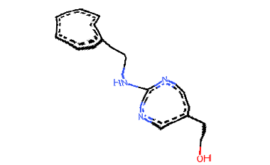 OCc1cnc(NCc2ccccc2)nc1